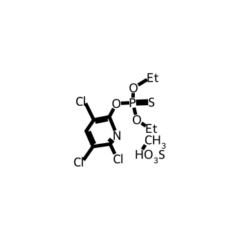 CCOP(=S)(OCC)Oc1nc(Cl)c(Cl)cc1Cl.CS(=O)(=O)O